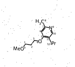 COCCCOc1cc(C)ncc1C(C)C